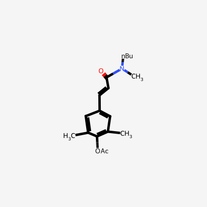 CCCCN(C)C(=O)/C=C/c1cc(C)c(OC(C)=O)c(C)c1